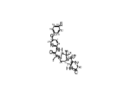 C[C@@H](C(=O)Nc1ccc(Oc2ccc(F)cc2)cn1)N1CCN(C(=O)c2c[nH]c(=O)cn2)C(C)(C)C1